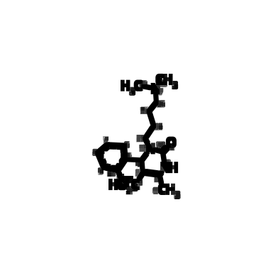 CC1=C(C(=O)O)C(c2ccccc2C(F)(F)F)N(CCCCN(C)C)C(=O)N1